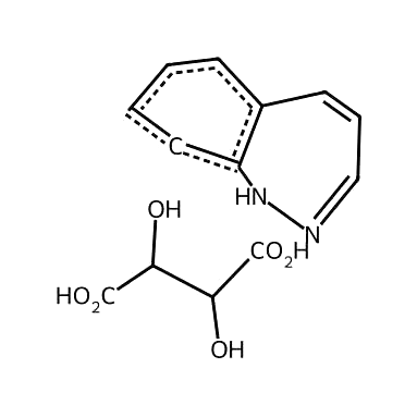 C1=Cc2ccccc2NN=C1.O=C(O)C(O)C(O)C(=O)O